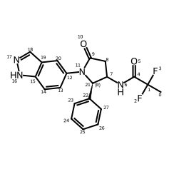 CC(F)(F)C(=O)NC1CC(=O)N(c2ccc3[nH]ncc3c2)[C@@H]1c1ccccc1